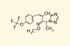 CON=C(C(C)=Cc1ccc(OC(F)(F)F)cc1)C(C)n1cncn1